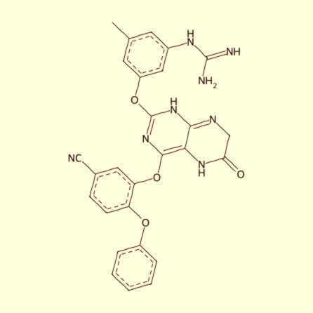 Cc1cc(NC(=N)N)cc(OC2=NC(Oc3cc(C#N)ccc3Oc3ccccc3)=C3NC(=O)CN=C3N2)c1